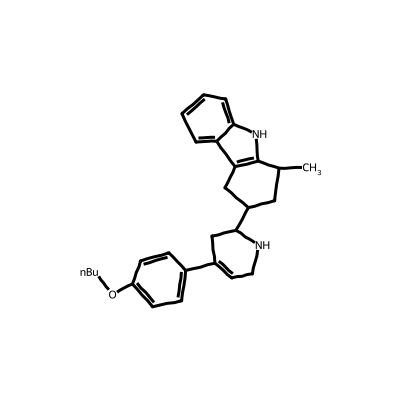 CCCCOc1ccc(C2=CCNC(C3Cc4c([nH]c5ccccc45)C(C)C3)C2)cc1